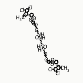 CN1Cc2c(Cl)cc(Cl)cc2[C@H](c2cccc(S(=O)(=O)N3CC[C@@H](OCCOCCNC(=O)NCCCCNC(=O)NCCOCCO[C@H]4CCN(S(=O)(=O)c5cccc([C@@H]6CN(C)Cc7c(Cl)cc(Cl)cc76)c5)C4)C3)c2)C1